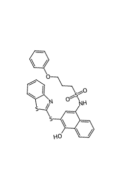 O=S(=O)(CCCOc1ccccc1)Nc1cc(Sc2nc3ccccc3s2)c(O)c2ccccc12